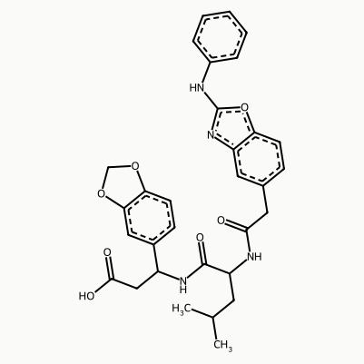 CC(C)CC(NC(=O)Cc1ccc2oc(Nc3ccccc3)nc2c1)C(=O)NC(CC(=O)O)c1ccc2c(c1)OCO2